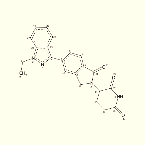 CCn1nc(-c2ccc3c(c2)CN(C2CCC(=O)NC2=O)C3=O)c2ccccc21